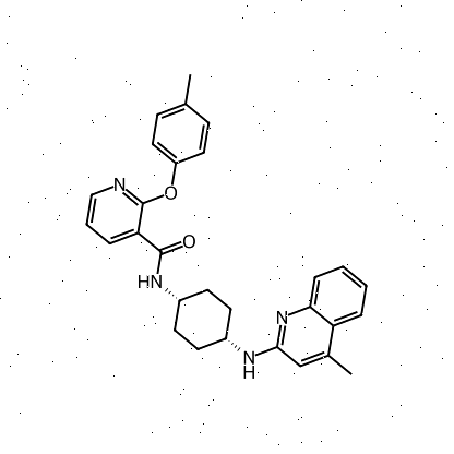 Cc1ccc(Oc2ncccc2C(=O)N[C@H]2CC[C@@H](Nc3cc(C)c4ccccc4n3)CC2)cc1